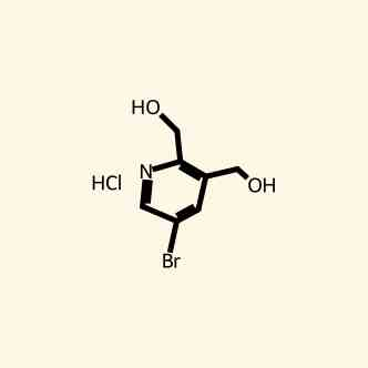 Cl.OCc1cc(Br)cnc1CO